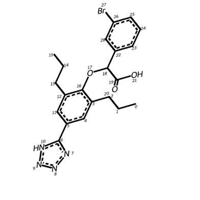 CCCc1cc(-c2nnn[nH]2)cc(CCC)c1OC(C(=O)O)c1cccc(Br)c1